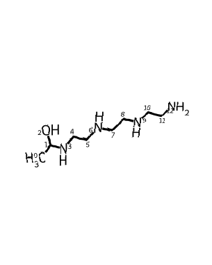 CC(O)NCCNCCNCCN